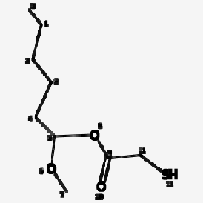 CCCCCC(OC)OC(=O)CS